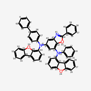 c1ccc(-c2ccc(N(c3cc(N(c4ccccc4)c4cccc5oc6ccccc6c45)c4oc(-c5ccccc5)nc4c3)c3cccc4c3oc3ccccc34)cc2)cc1